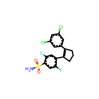 NS(=O)(=O)c1cc(F)c(C2=C(c3cc(Cl)cc(Cl)c3)CCC2)cc1F